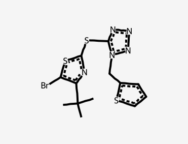 CC(C)(C)c1nc(Sc2nnnn2Cc2cccs2)sc1Br